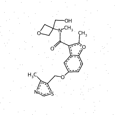 Cc1ncsc1COc1ccc2oc(C)c(C(=O)N(C)C3(CO)COC3)c2c1